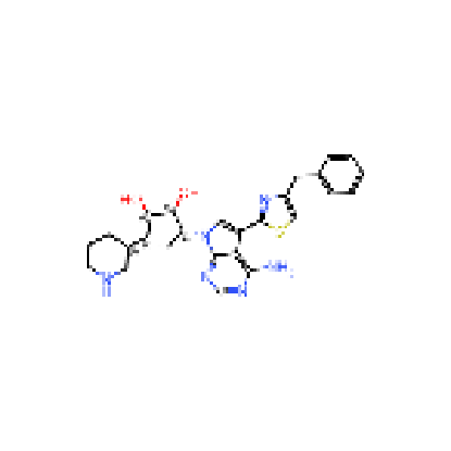 Nc1ncnc2c1c(-c1nc(Cc3ccccc3)cs1)cn2[C@@H]1C[C@H]([C@@H]2CCCNC2)[C@@H](O)[C@H]1O